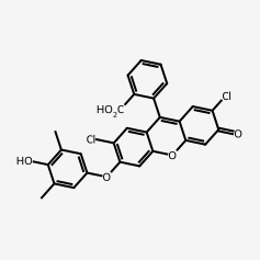 Cc1cc(Oc2cc3oc4cc(=O)c(Cl)cc-4c(-c4ccccc4C(=O)O)c3cc2Cl)cc(C)c1O